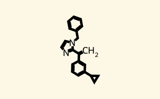 C=C(c1cccc(C2CC2)c1)c1nccn1Cc1ccccc1